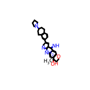 CC1(O)CCOc2cc(C(=N)c3cc(-c4ccc5c(c4)CCC(N4CCCC4)CC5)cnc3N)ccc21